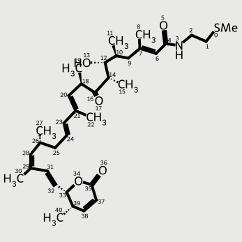 CSCCNC(=O)/C=C(\C)C[C@H](C)[C@@H](O)[C@H](C)C(=O)[C@H](C)/C=C(C)/C=C/C[C@@H](C)/C=C(C)\C=C\[C@@H]1OC(=O)C=C[C@@H]1C